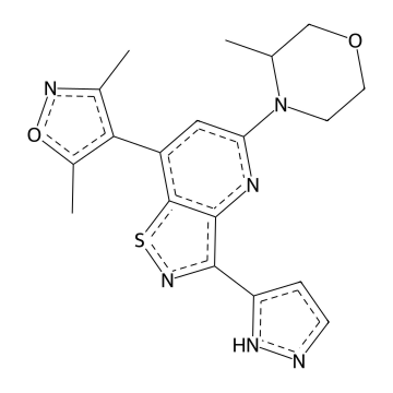 Cc1noc(C)c1-c1cc(N2CCOCC2C)nc2c(-c3ccn[nH]3)nsc12